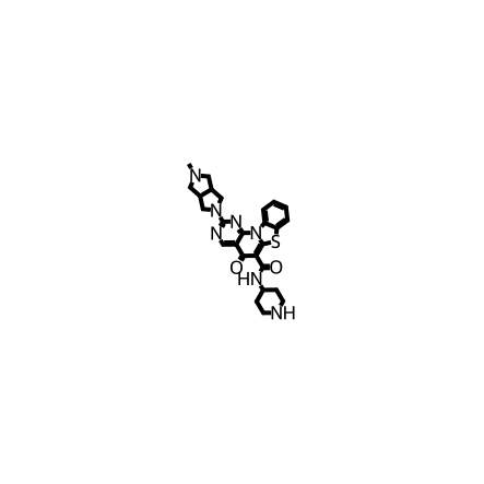 CN1CC2CN(c3ncc4c(=O)c(C(=O)NC5CCNCC5)c5sc6ccccc6n5c4n3)CC2C1